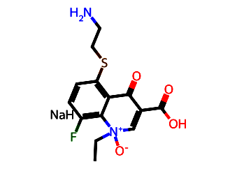 CC[N+]1([O-])C=C(C(=O)O)C(=O)c2c(SCCN)ccc(F)c21.[NaH]